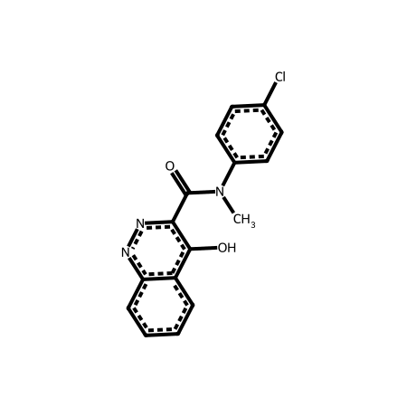 CN(C(=O)c1nnc2ccccc2c1O)c1ccc(Cl)cc1